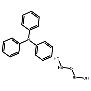 OBOBO.c1ccc(N(c2ccccc2)c2ccccc2)cc1